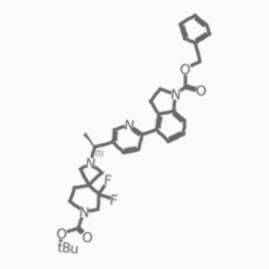 C[C@@H](c1ccc(-c2cccc3c2CCN3C(=O)OCc2ccccc2)nc1)N1CC2(CCN(C(=O)OC(C)(C)C)CC2(F)F)C1